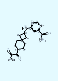 CC(C)(C)C(=O)C(=O)N1CCC2(CC1)CC(Nc1cc(C(N)=O)ncn1)C2